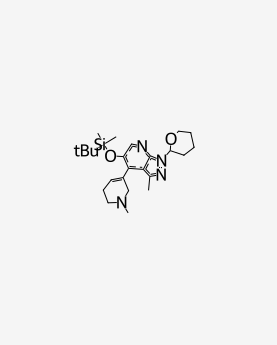 Cc1nn(C2CCCCO2)c2ncc(O[Si](C)(C)C(C)(C)C)c(C3=CCCN(C)C3)c12